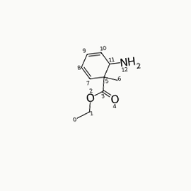 CCOC(=O)C1(C)C=CC=CC1N